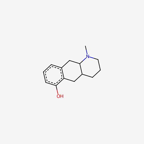 CN1CCCC2Cc3c(O)cccc3CC21